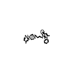 Cc1ccnc(N2CCN(CCCCn3c(=O)cc(C)n3-c3ccccc3)CC2)c1